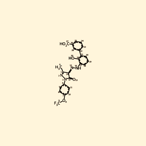 CC1=NN(c2ccc(OC(F)(F)F)cc2)C(=O)C1=NNc1cccc(-c2cccc(C(=O)O)c2)c1O